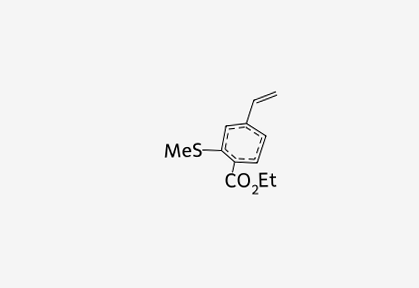 C=Cc1ccc(C(=O)OCC)c(SC)c1